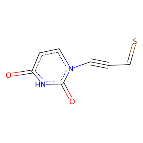 O=c1ccn(C#CC=S)c(=O)[nH]1